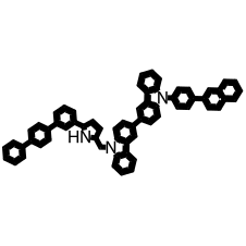 C1=CC(c2cccc(-c3ccc(-c4ccccc4)cc3)c2)NC1Cn1c2ccccc2c2cc(-c3ccc4c(c3)c3ccccc3n4-c3ccc(-c4ccc5ccccc5c4)cc3)ccc21